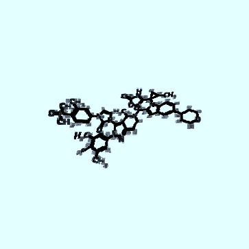 Cc1cc(-n2ccn(-c3c4c(nn3-c3cc(C)c(F)c(C)c3)CCN(C(=O)c3cc5cc(C6CCOCC6)ccc5n3C3(c5noc(=O)[nH]5)CC3C)C4C)c2=O)ccc1P(C)(C)=O